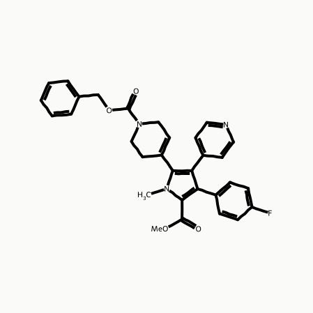 COC(=O)c1c(-c2ccc(F)cc2)c(-c2ccncc2)c(C2=CCN(C(=O)OCc3ccccc3)CC2)n1C